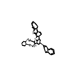 C1=CC2=Nc3c(c4cc(-c5ccc6ccccc6c5)cc5c6ccc7c8ccccc8sc7c6n3c45)NC2C=C1